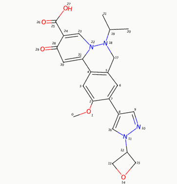 COc1cc2c(cc1-c1cnn(C3COC3)c1)CN(C(C)C)n1cc(C(=O)O)c(=O)cc1-2